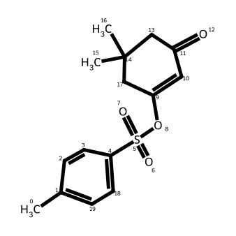 Cc1ccc(S(=O)(=O)OC2=CC(=O)CC(C)(C)C2)cc1